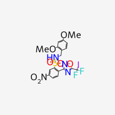 COc1ccc(CNS(=O)(=O)c2cc([N+](=O)[O-])ccc2-c2noc(C(F)(F)I)n2)c(OC)c1